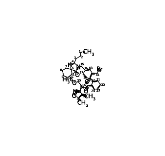 CCCCC1=NC2(CCCCC2)C(=O)N1Cc1ccc(-c2ccccc2S(=O)(=O)N(COC)c2noc(C)c2C)c(CBr)c1